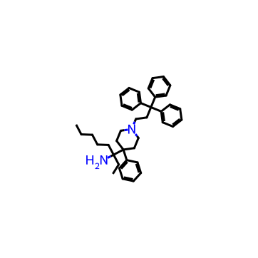 CCCCCC(N)(CC)C1(c2ccccc2)CCN(CCC(c2ccccc2)(c2ccccc2)c2ccccc2)CC1